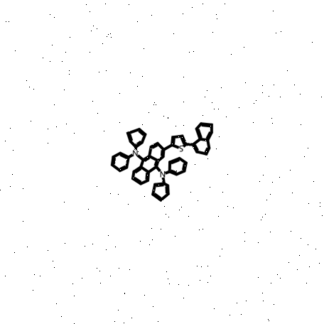 c1ccc(N(c2ccccc2)c2c3ccccc3c(N(c3ccccc3)c3ccccc3)c3cc(-c4ccc(-c5cccc6ccccc56)s4)ccc23)cc1